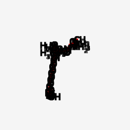 CCCN(OCC)C(=O)C1=Cc2ccc(-c3cnc(C(=O)OCc4ccc(NC(=O)[C@H](CCCNC(N)=O)NC(=O)[C@@H](NC(=O)CCOCCOCCOCCOCCOCCOCCOCCOCCOCCOCCC(=O)Oc5c(F)c(F)c(S(=O)(=O)O)c(F)c5F)C(C)C)cc4)nc3)cc2N=C(N)C1